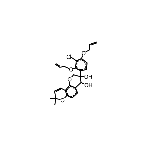 C=CCOc1ccc(C2(O)COc3c(ccc4c3C=CC(C)(C)O4)C2O)c(OCC=C)c1Cl